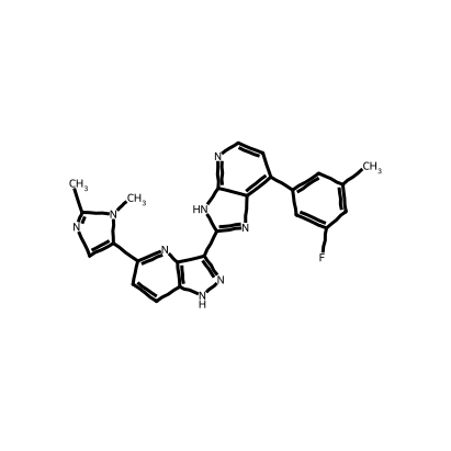 Cc1cc(F)cc(-c2ccnc3[nH]c(-c4n[nH]c5ccc(-c6cnc(C)n6C)nc45)nc23)c1